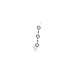 CCCCCC1CCc2c(cc(F)c(C#Cc3ccc(C#Cc4ccc(N=C=S)c(F)c4)c(C)c3)c2F)C1